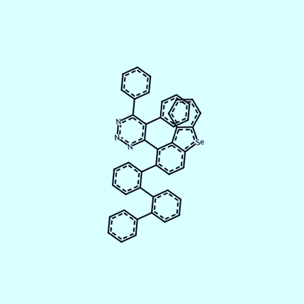 c1ccc(-c2ccccc2-c2ccccc2-c2ccc3[se]c4ccccc4c3c2-c2nnnc(-c3ccccc3)c2-c2ccccc2)cc1